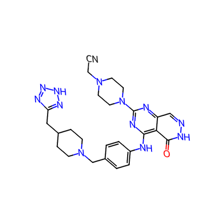 N#CCN1CCN(c2nc(Nc3ccc(CN4CCC(Cc5nn[nH]n5)CC4)cc3)c3c(=O)[nH]ncc3n2)CC1